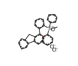 C[O][Ti+2]([c]1ccccc1)([c]1ccccc1)[c]1ccccc1-c1cccc2c1Cc1ccccc1-2.[Cl-].[Cl-]